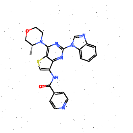 C[C@@H]1COCCN1c1nc(-n2cnc3ccccc32)nc2c(NC(=O)c3ccncc3)csc12